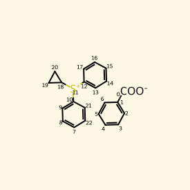 O=C([O-])c1ccccc1.c1ccc([S+](c2ccccc2)C2CC2)cc1